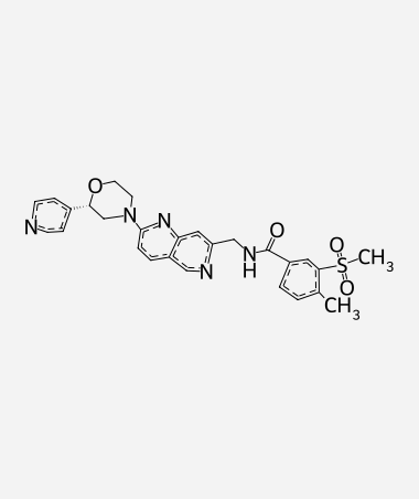 Cc1ccc(C(=O)NCc2cc3nc(N4CCO[C@@H](c5ccncc5)C4)ccc3cn2)cc1S(C)(=O)=O